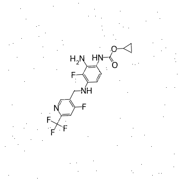 Nc1c(NC(=O)OC2CC2)ccc(NCc2cnc(C(F)(F)F)cc2F)c1F